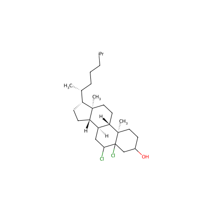 CC(C)CCC[C@@H](C)[C@H]1CC[C@H]2[C@@H]3CC(Cl)C4(Cl)CC(O)CC[C@]4(C)[C@H]3CC[C@]12C